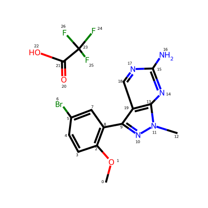 COc1ccc(Br)cc1-c1nn(C)c2nc(N)ncc12.O=C(O)C(F)(F)F